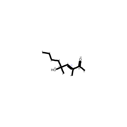 CCCCC(C)(O)/C=C(\C)C(C)=O